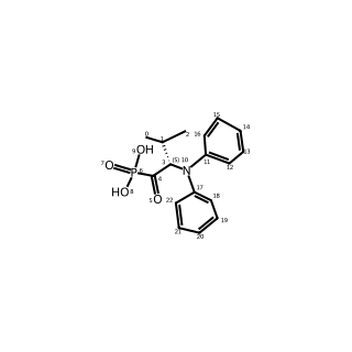 CC(C)[C@@H](C(=O)P(=O)(O)O)N(c1ccccc1)c1ccccc1